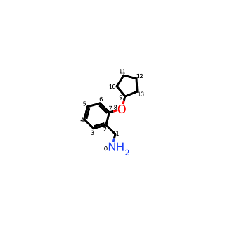 NCc1ccccc1OC1CCCC1